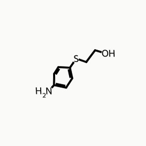 Nc1ccc(SCCO)cc1